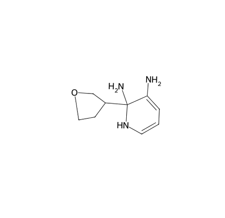 NC1=CC=CNC1(N)C1CCOC1